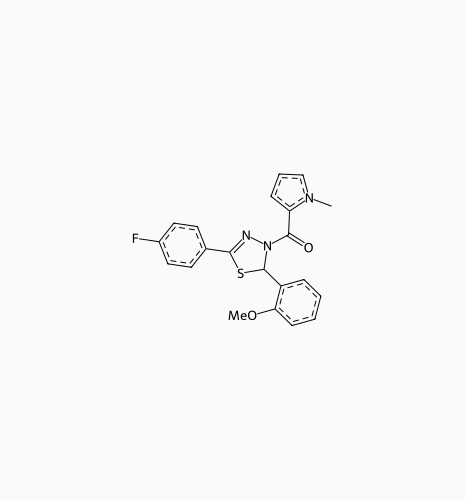 COc1ccccc1C1SC(c2ccc(F)cc2)=NN1C(=O)c1cccn1C